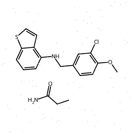 CCC(N)=O.COc1ccc(CNc2cccc3sccc23)cc1Cl